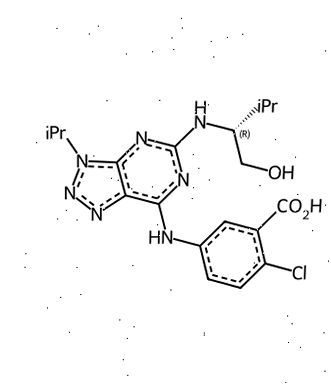 CC(C)[C@H](CO)Nc1nc(Nc2ccc(Cl)c(C(=O)O)c2)c2nnn(C(C)C)c2n1